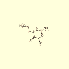 C=CCC(OC(N)=O)C(=O)CBr